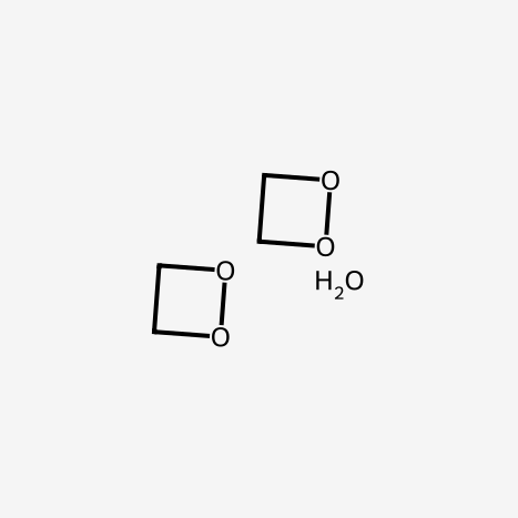 C1COO1.C1COO1.O